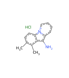 Cc1ccc2c(c1C)c(N)c1ccccn12.Cl